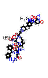 Cn1c(=O)n(C2CCC(=O)NC2=O)c2ccc(C3CCN(CCC(=O)N4CC[C@H]5CC[C@@H](C(=O)NC(CCC(N)=O)C(=O)NC(c6ccccc6)c6ccccc6)N5C(=O)[C@@H](NC(=O)OC(C)(C)C)C4)CC3)cc21